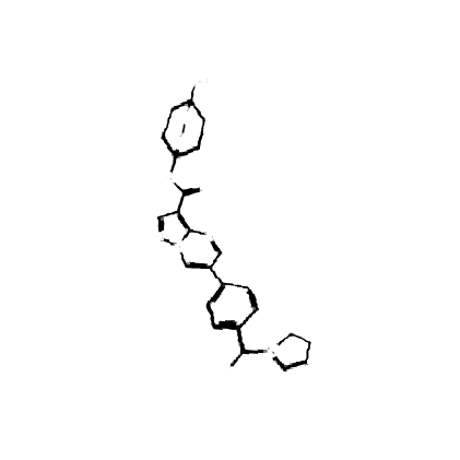 CC(c1ccc(-c2cnc3c(C(=O)NC45CCC(O)(CC4)CC5)cnn3c2)cc1)N1CCCC1